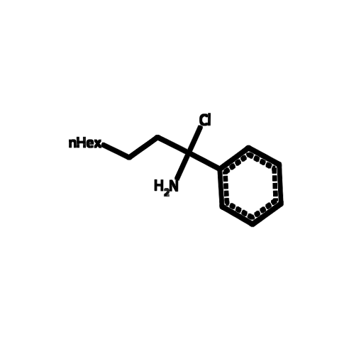 CCCCCCCCC(N)(Cl)c1ccccc1